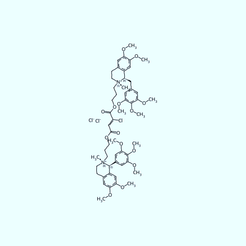 COc1cc2c(cc1OC)[C@H](c1cc(OC)c(OC)c(OC)c1)[N@@+](C)(CCCOC(=O)C=C(Cl)C(=O)OCCC[N@+]1(C)CCc3cc(OC)c(OC)cc3[C@H]1Cc1cc(OC)c(OC)c(OC)c1)CC2.[Cl-].[Cl-]